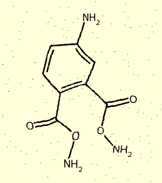 NOC(=O)c1ccc(N)cc1C(=O)ON